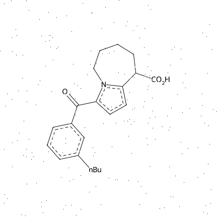 CCCCc1cccc(C(=O)c2ccc3n2CCCCC3C(=O)O)c1